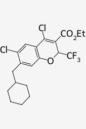 CCOC(=O)C1=C(Cl)c2cc(Cl)c(CC3CCCCC3)cc2OC1C(F)(F)F